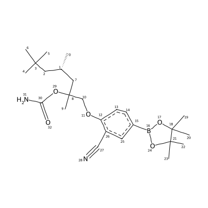 C[C@@H](CC(C)(C)C)CC(C)(COc1ccc(B2OC(C)(C)C(C)(C)O2)cc1C#N)OC(N)=O